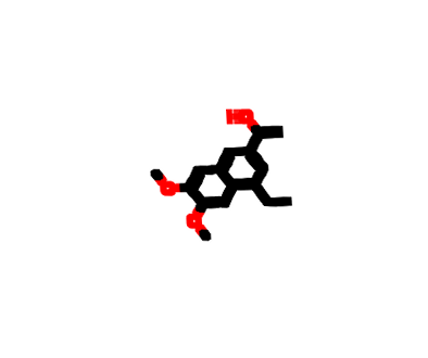 C=C(O)c1cc(CC)c2cc(OC)c(OC)cc2c1